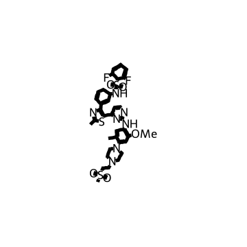 COc1cc(N2CCN(CCS(C)(=O)=O)CC2)c(C)cc1Nc1nccc(-c2sc(C)nc2C2=CC(NS(=O)(=O)C3C(F)=CC=CC3F)CC=C2)n1